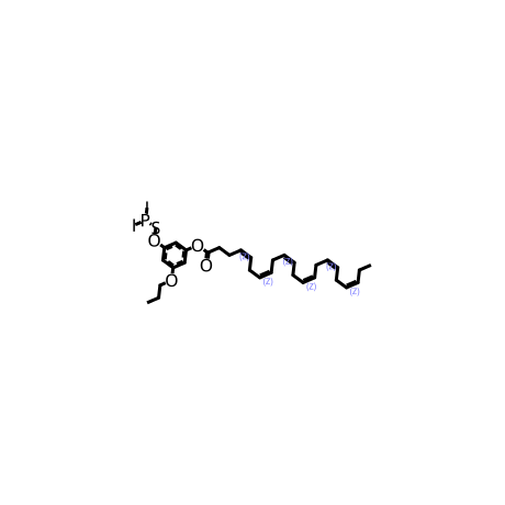 CC/C=C\C/C=C\C/C=C\C/C=C\C/C=C\C/C=C\CCC(=O)Oc1cc(OCCC)cc(OSP(I)I)c1